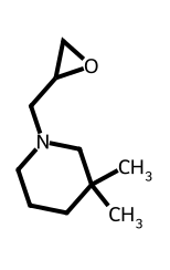 CC1(C)CCCN(CC2CO2)C1